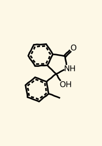 Cc1ccccc1C1(O)NC(=O)c2ccccc21